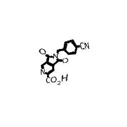 N#Cc1ccc(CN2C(=O)c3cnc(C(=O)O)cc3C2=O)cc1